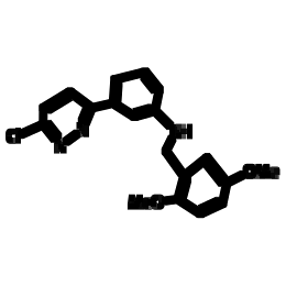 COc1ccc(OC)c(CNc2cccc(-c3ccc(Cl)nn3)c2)c1